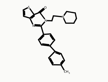 Cc1ccc(-c2ccc(-c3nc4ccsc4c(=O)n3CCN3CCCCC3)cc2)cc1